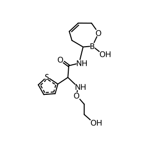 O=C(NC1CC=CCOB1O)C(NOCCO)c1cccs1